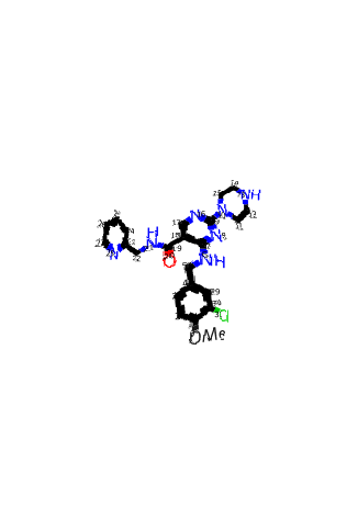 COc1ccc(CNc2nc(N3CCNCC3)ncc2C(=O)NCc2ccccn2)cc1Cl